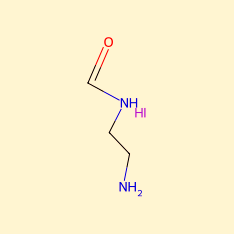 I.NCCNC=O